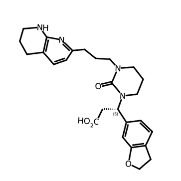 O=C(O)C[C@@H](c1ccc2c(c1)OCC2)N1CCCN(CCCc2ccc3c(n2)NCCC3)C1=O